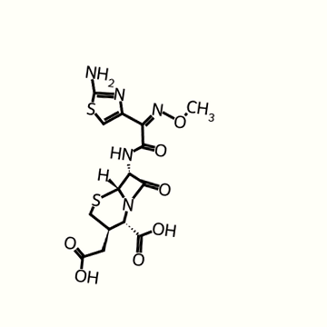 CO/N=C(\C(=O)N[C@@H]1C(=O)N2[C@@H]1SC[C@H](CC(=O)O)[C@H]2C(=O)O)c1csc(N)n1